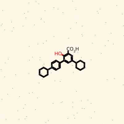 O=C(O)c1cc(C2CCCCC2)cc(-c2ccc(C3CCCCC3)cc2)c1O